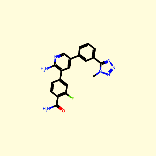 Cn1nnnc1-c1cccc(-c2cnc(N)c(-c3ccc(C(N)=O)c(F)c3)c2)c1